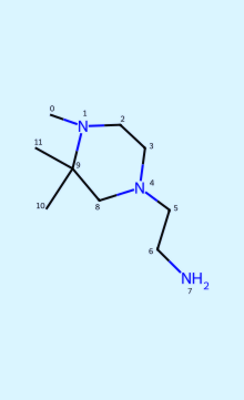 CN1CCN(CCN)CC1(C)C